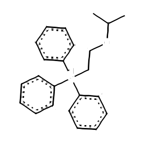 CC(C)OCC[PH](c1ccccc1)(c1ccccc1)c1ccccc1